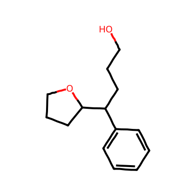 OCCCC(c1ccccc1)C1CCCO1